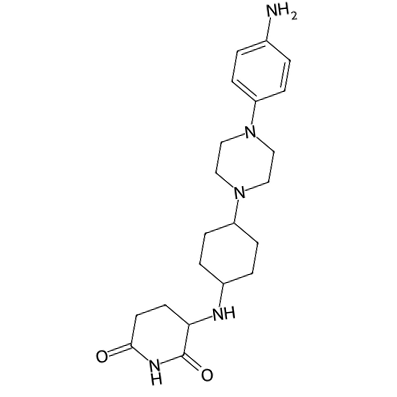 Nc1ccc(N2CCN(C3CCC(NC4CCC(=O)NC4=O)CC3)CC2)cc1